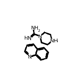 N=C(N)N1CCNCC1.c1ccc2ncccc2c1